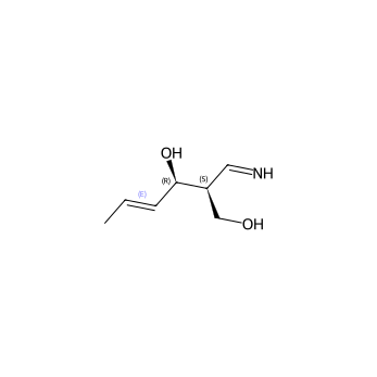 C/C=C/[C@@H](O)[C@@H](C=N)CO